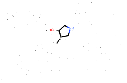 [CH2][C@@H]1CNC[C@H]1O